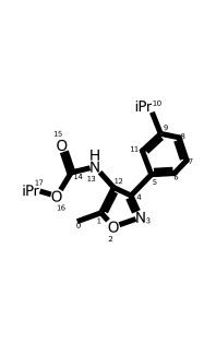 Cc1onc(-c2cccc(C(C)C)c2)c1NC(=O)OC(C)C